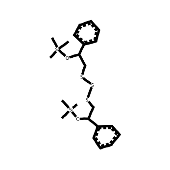 C[Si](C)(C)OC(CSSSCC(O[Si](C)(C)C)c1ccccc1)c1ccccc1